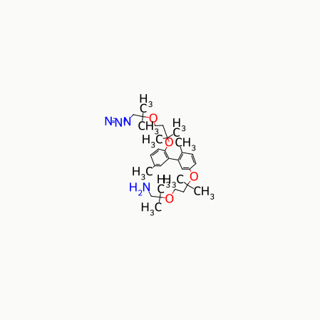 Cc1ccc(OC(C)(C)CCOC(C)(C)CN=[N+]=[N-])c(-c2cc(OC(C)(C)CCOC(C)(C)CN)ccc2C)c1